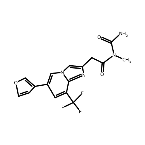 CN(C(N)=O)C(=O)Cc1cn2cc(-c3ccoc3)cc(C(F)(F)F)c2n1